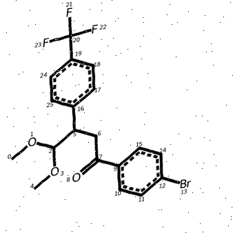 COC(OC)C(CC(=O)c1ccc(Br)cc1)c1ccc(C(F)(F)F)cc1